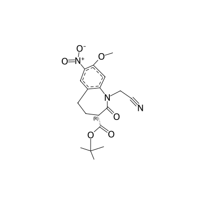 COc1cc2c(cc1[N+](=O)[O-])CC[C@@H](C(=O)OC(C)(C)C)C(=O)N2CC#N